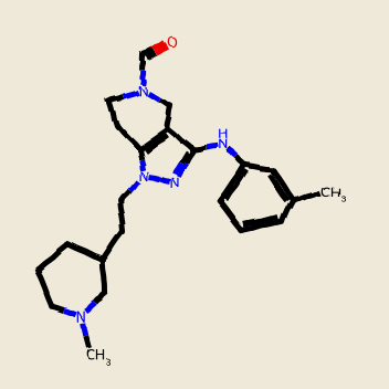 Cc1cccc(Nc2nn(CCC3CCCN(C)C3)c3c2CN(C=O)CC3)c1